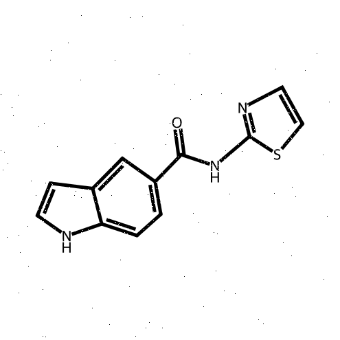 O=C(Nc1nccs1)c1ccc2[nH]ccc2c1